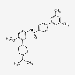 COc1ccc(NC(=O)c2ccc(-c3cc(C)cc(C)c3)cc2)cc1C1CCN(C(C)C)CC1